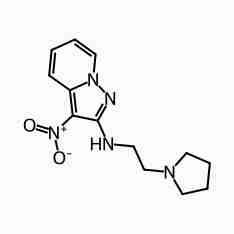 O=[N+]([O-])c1c(NCCN2CCCC2)nn2ccccc12